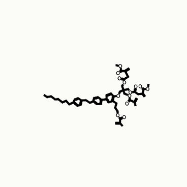 C=C(C)C(=O)OCCCc1cc(-c2ccc(CCc3ccc(CCCCCCCC)cc3)cc2)ccc1OCC(COC(=O)CC(=C)C(=O)OC)(COC(=O)CC(=C)C(=O)OC)COC(=O)C(=C)C